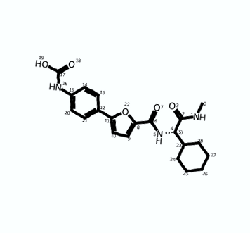 CNC(=O)[C@@H](NC(=O)c1ccc(-c2ccc(NC(=O)O)cc2)o1)C1CCCCC1